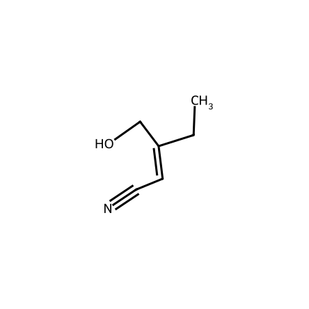 CCC(=CC#N)CO